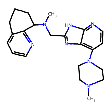 CN1CCN(c2ccnc3[nH]c(CN(C)C4CCCc5cccnc54)nc23)CC1